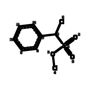 O=S(=O)(OCl)C(Cl)c1ccccc1